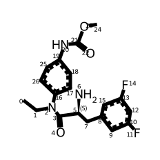 CCN(C(=O)[C@@H](N)Cc1cc(F)cc(F)c1)c1ccc(NC(=O)OC)cc1